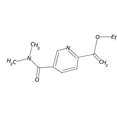 C=C(OCC)c1ccc(C(=O)N(C)C)cn1